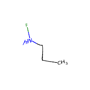 CCCNF